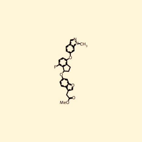 COC(=O)Cc1coc2cc(OC3CCc4c(Oc5ccc6cnn(C)c6c5)ccc(F)c43)ccc12